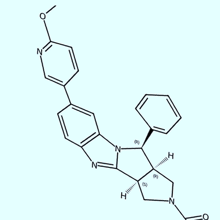 COc1ccc(-c2ccc3nc4n(c3c2)[C@@H](c2ccccc2)[C@H]2CN(C(C)=O)C[C@@H]42)cn1